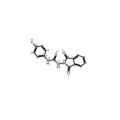 O=C1c2ccccc2C(=O)N1NC(=S)Nc1ccc(F)cc1